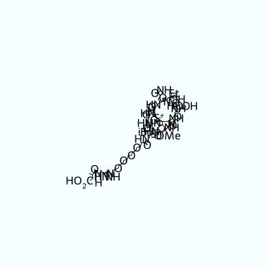 CC[C@@H](O)CN1CC(=O)N[C@@H]([C@@H](C)[C@@H](O)CO)C(=O)N[C@H]2Cc3c([nH]c4c(CSCCNC(=O)CCOCCOCCOCCOCCN5C=C(CNC(=O)C(C)CC(=O)O)NN5)c(OC)ccc34)[S+]([O-])C[C@H](NC(=O)CNC(=O)[C@H]([C@@H](C)CC)NC(=O)CCNC2=O)C(=O)N[C@@H](CCC(N)=O)C1=O